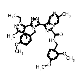 CCn1nc(C)c(F)c1-c1nnc(-c2nc(C(=O)NCc3ccc(OC)cc3OC)n3cc(C)ncc23)n1Cc1ccc(OC)cc1